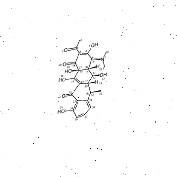 CC(=O)C1=C(O)[C@@H](N(C)C)[C@@H]2[C@@H](O)[C@H]3C(=C(O)[C@]2(O)C1=O)C(=O)c1c(O)cccc1[C@@H]3C